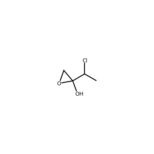 CC(Cl)C1(O)CO1